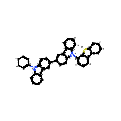 C1=CC(n2c3ccccc3c3cc(-c4ccc5c(c4)c4ccccc4n5-c4cccc5c4sc4ccccc45)ccc32)=CCC1